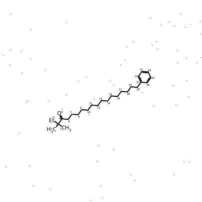 CCC(C)(C)C(=O)CCCCCCCCCCCCCCCc1ccccc1